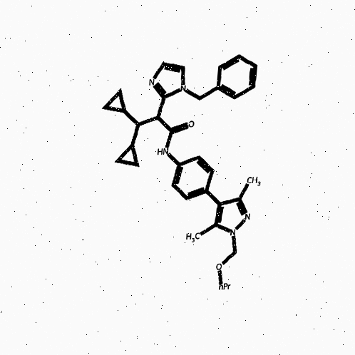 CCCOCn1nc(C)c(-c2ccc(NC(=O)C(c3nccn3Cc3ccccc3)C(C3CC3)C3CC3)cc2)c1C